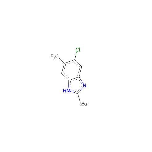 CC(C)(C)c1nc2cc(Cl)c(C(F)(F)F)cc2[nH]1